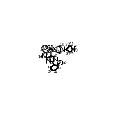 COc1ccccc1-c1ncc2c(n1)N(C)C(C=O)N2C(=O)N1CCN(c2ccc(F)cc2)CC1